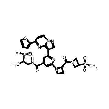 CCN(CC)C(C)CNC(=O)c1cc(-c2cnn3ccc(-c4cccs4)nc23)nc(N2CCC2C(=O)N2CC(S(C)(=O)=O)C2)c1